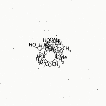 CC[C@H]1OC(=O)[C@H](C)[C@@H](O[C@H]2C[C@@](C)(OC)[C@@H](O)[C@H](C)O2)[C@H](C)[C@@H](O[C@@H]2O[C@H](C)C[C@H](N(C)CCc3cn(Cc4ccc(CO)cc4)nn3)[C@H]2O)[C@](C)(OC)C[C@@H](C)C(=O)[C@H](C)[C@@H](O)[C@]1(C)O